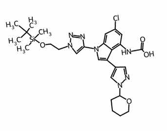 CC(C)(C)[Si](C)(C)OCCn1cc(-n2cc(-c3cnn(C4CCCCO4)c3)c3c(NC(=O)O)cc(Cl)cc32)nn1